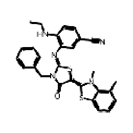 CCNc1ccc(C#N)cc1N=C1SC(=C2Sc3cccc(C)c3N2C)C(=O)N1Cc1ccccc1